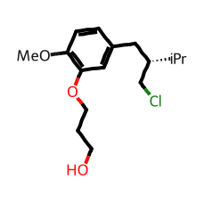 COc1ccc(C[C@@H](CCl)C(C)C)cc1OCCCO